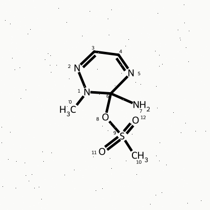 CN1N=CC=NC1(N)OS(C)(=O)=O